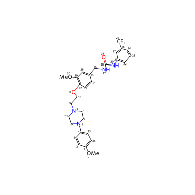 COc1ccc(N2CCN(CCOc3ccc(CNC(=O)Nc4cccc(C(F)(F)F)c4)cc3OC)CC2)cc1